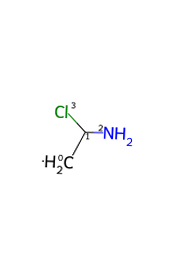 [CH2]C(N)Cl